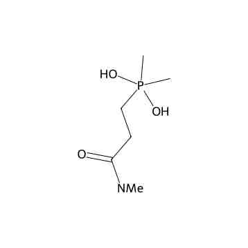 CNC(=O)CCP(C)(C)(O)O